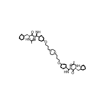 CC(=O)N[C@@H](Cc1ccccc1)C(=O)NC(=N)c1ccc(OCCCN2CCN(CCCOc3ccc(C(=N)NC(=O)[C@H](Cc4ccccc4)NC(C)=O)cc3)CC2)cc1